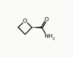 NC(=O)[C@H]1CCO1